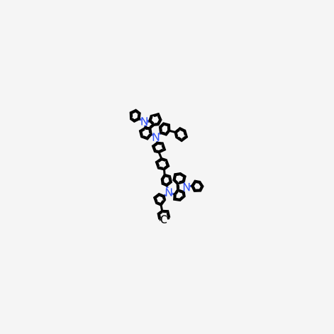 c1ccc(-c2cccc(N(c3ccc(-c4ccc(-c5ccc(N(c6cccc(-c7ccccc7)c6)c6cccc7c6c6ccccc6n7-c6ccccc6)cc5)cc4)cc3)c3cccc4c3c3ccccc3n4-c3ccccc3)c2)cc1